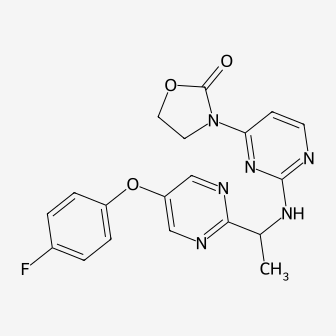 CC(Nc1nccc(N2CCOC2=O)n1)c1ncc(Oc2ccc(F)cc2)cn1